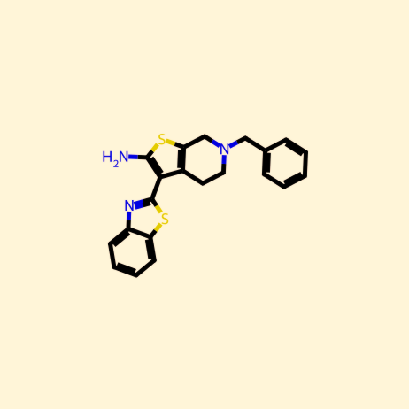 Nc1sc2c(c1-c1nc3ccccc3s1)CCN(Cc1ccccc1)C2